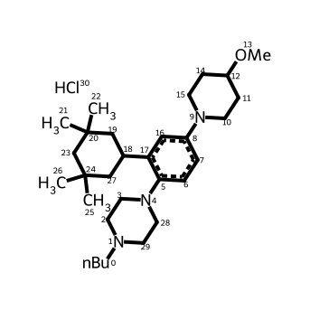 CCCCN1CCN(c2ccc(N3CCC(OC)CC3)cc2C2CC(C)(C)CC(C)(C)C2)CC1.Cl